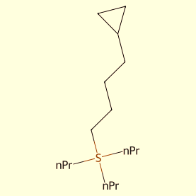 CCCS(CCC)(CCC)CCCCC1CC1